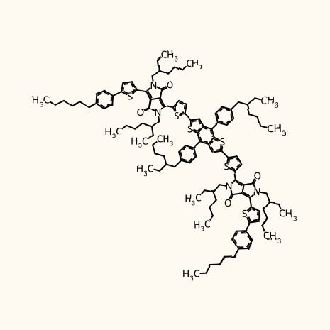 CCCCCCc1ccc(-c2ccc(C3=C4C(=O)N(CC(CC)CCCC)C(c5ccc(-c6cc7c(-c8ccc(CC(CC)CCCC)cc8)c8sc(-c9ccc(C%10=C%11C(=O)N(CC(CC)CCCC)C(c%12ccc(-c%13ccc(CCCCCC)cc%13)s%12)=C%11C(=O)N%10CC(CC)CCCC)s9)cc8c(-c8ccc(CC(CC)CCCC)cc8)c7s6)s5)=C4C(=O)N3CC(CC)CCCC)s2)cc1